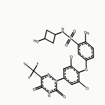 [2H]C(F)(F)c1nn(-c2cc(Cl)c(Oc3ccc(O)c(S(=O)(=O)NC4CC(O)C4)c3)c(Cl)c2)c(=O)[nH]c1=O